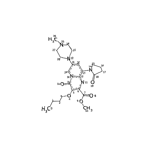 CCCCOc1c(C(=O)OC)nc2c(N3CCCC3=O)cc(N3CCN(C)CC3)cn2c1=O